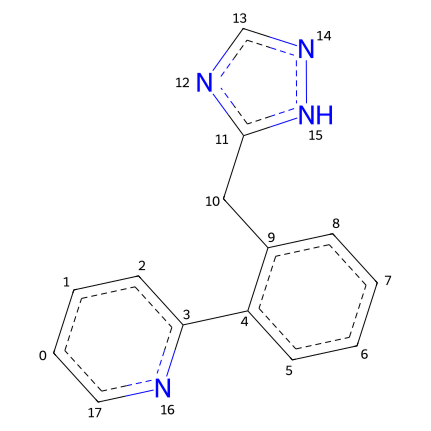 c1ccc(-c2ccccc2Cc2ncn[nH]2)nc1